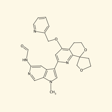 Cn1cc(-c2cc(OCc3ccccn3)c3c(n2)C2(CCOC2)OCC3)c2cc(NC=O)ncc21